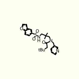 CC(C)(C)CC(=O)N(Cc1cccnc1)CC(C)(C)CNS(=O)(=O)c1ccc2occc2c1